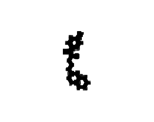 O=C(CCCN1CCN2CCCCC2C1)Nc1ccc(Br)cc1